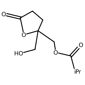 CC(C)C(=O)OCC1(CO)CCC(=O)O1